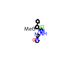 COc1cc(-c2ccccc2)cc(-c2nc(Nc3cncc(N4CCCC4=O)c3)ncc2Cl)c1